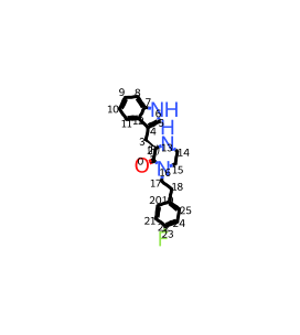 O=C1[C@@H](Cc2c[nH]c3ccccc23)NCCN1CCc1ccc(F)cc1